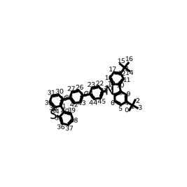 CC(C)(C)c1ccc2c(c1)c1cc(C(C)(C)C)ccc1n2-c1ccc(-c2ccc(-c3cccc4sc5ccccc5c34)cc2)cc1